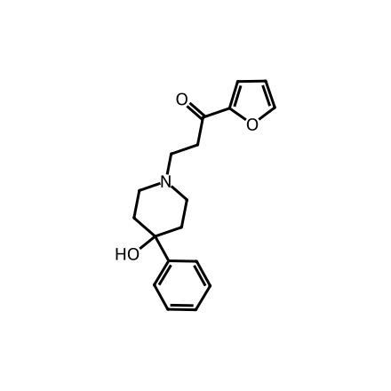 O=C(CCN1CCC(O)(c2ccccc2)CC1)c1ccco1